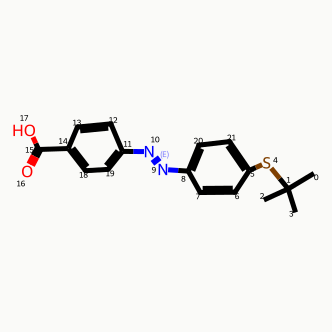 CC(C)(C)Sc1ccc(/N=N/c2ccc(C(=O)O)cc2)cc1